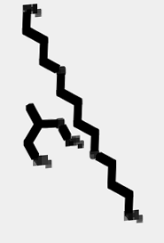 CC(CN)ON.NCCCOCCCCOCCCN